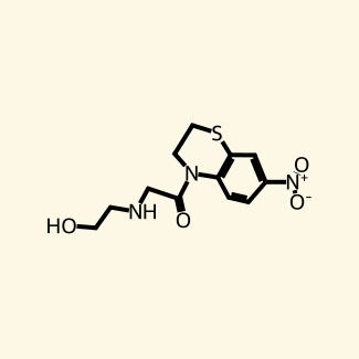 O=C(CNCCO)N1CCSc2cc([N+](=O)[O-])ccc21